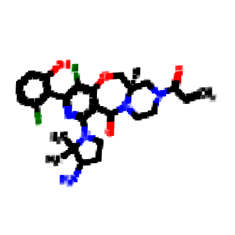 C=CC(=O)N1CCN2C(=O)c3c(N4CCC(N)C4(C)C)nc(-c4c(O)cccc4F)c(F)c3OC[C@H]2C1